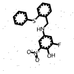 O=[N+]([O-])c1cc(NCc2ccccc2Sc2ccccc2)cc(F)c1O